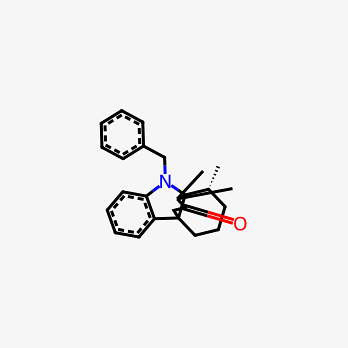 C[C@@H]1CCCC23CC(=O)C(C)(C)C12N(Cc1ccccc1)c1ccccc13